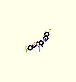 Cc1cc(N2CCc3cc(F)ccc3C2)cc(C)c1NC(=O)CC1(C)CCC(F)(F)CC1